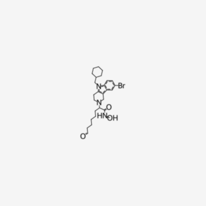 O=CCCCCCC(C(=O)NO)N1CCc2c(c3cc(Br)ccc3n2CC2CCCCC2)C1